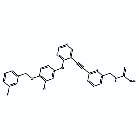 CNC(=O)NCc1cccc(C#Cc2cncnc2Nc2ccc(OCc3cccc(F)c3)c(Cl)c2)n1